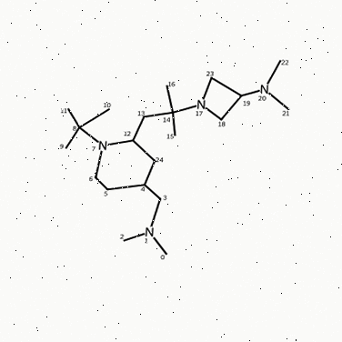 CN(C)CC1CCN(C(C)(C)C)C(CC(C)(C)N2CC(N(C)C)C2)C1